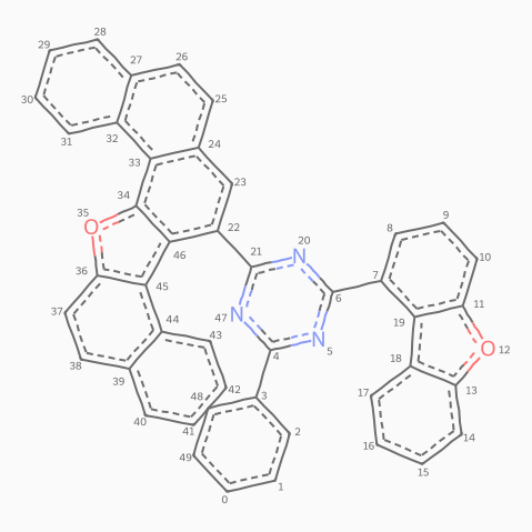 c1ccc(-c2nc(-c3cccc4oc5ccccc5c34)nc(-c3cc4ccc5ccccc5c4c4oc5ccc6ccccc6c5c34)n2)cc1